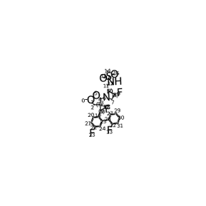 COC[C@@]1(C(=O)N2C[C@@H](F)[C@H]2CNS(C)(=O)=O)C[C@H]1c1ccc(F)cc1-c1c(F)cccc1F